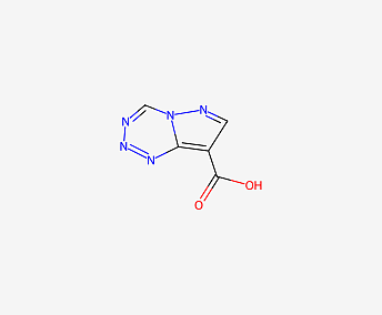 O=C(O)c1cnn2cnnnc12